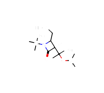 C[SiH](C)OC(C)(C(C)(C)C)[C@@]1(C)C(=O)N([Si](C)(C)C(C)(C)C)C1CC(=O)O